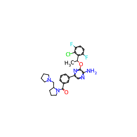 CC(Oc1nc(-c2cccc(C(=O)N3CCCC3CN3CCCC3)c2)cnc1N)c1c(F)ccc(F)c1Cl